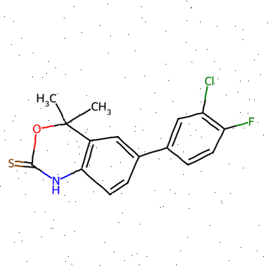 CC1(C)OC(=S)Nc2ccc(-c3ccc(F)c(Cl)c3)cc21